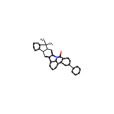 CC1(C)c2ccccc2C2C=c3c(n4c(=O)c5ccc(-c6ccccc6)cc5c5cccc3c54)=CC21